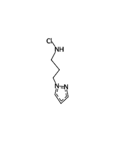 ClNCCCn1cccn1